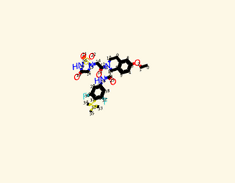 CCOc1ccc2c(c1)CCN(C(=O)CN1CC(=O)NS1(=O)=O)[C@H]2C(=O)Nc1cc(F)c(S(C)(C)C)c(F)c1